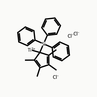 CC1=C(C)[C]([Ti+3])([Si](c2ccccc2)(c2ccccc2)c2ccccc2)C(C)=C1C.[Cl-].[Cl-].[Cl-]